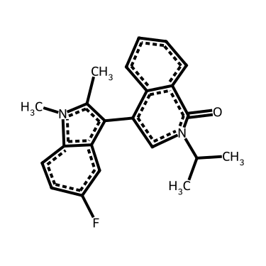 Cc1c(-c2cn(C(C)C)c(=O)c3ccccc23)c2cc(F)ccc2n1C